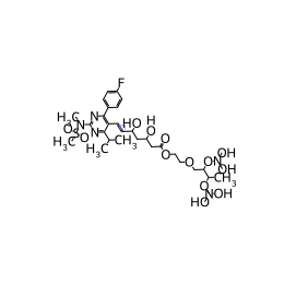 CC(C)c1nc(N(C)S(C)(=O)=O)nc(-c2ccc(F)cc2)c1/C=C/C(O)CC(O)CC(=O)OCCOCC(ON(O)O)C(C)ON(O)O